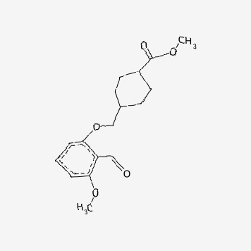 COC(=O)C1CCC(COc2cccc(OC)c2C=O)CC1